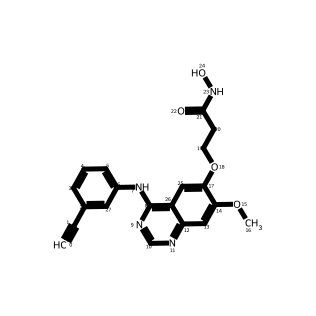 C#Cc1cccc(Nc2ncnc3cc(OC)c(OCCC(=O)NO)cc23)c1